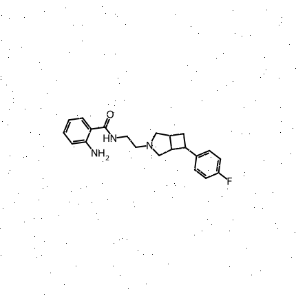 Nc1ccccc1C(=O)NCCN1CC2CC(c3ccc(F)cc3)C2C1